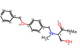 CNC(=O)[C@@H](CO)N(C)Cc1ccc(OCc2ccccc2)cc1